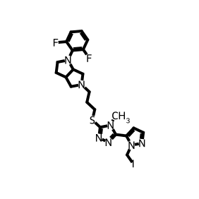 Cn1c(SCCCN2CC3CCN(c4c(F)cccc4F)C3C2)nnc1-c1ccnn1CI